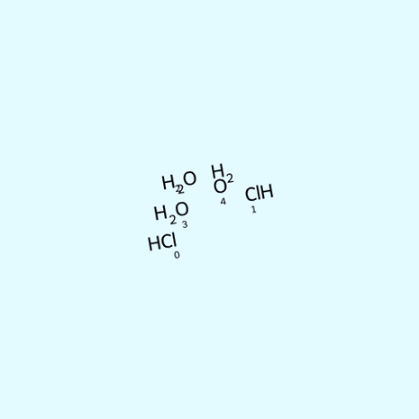 Cl.Cl.O.O.O